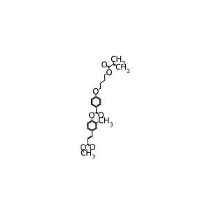 C=C(C)C(=O)OCCCCOc1ccc(C(=O)Oc2ccc(/C=C/C(=O)OC)cc2C)cc1